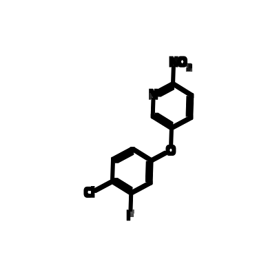 O=[N+]([O-])c1ccc(Oc2ccc(Cl)c(F)c2)cn1